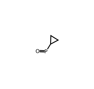 O=PC1CC1